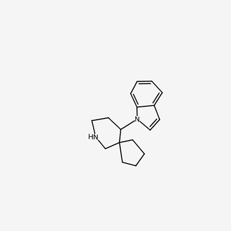 c1ccc2c(c1)ccn2C1CCNCC12CCCC2